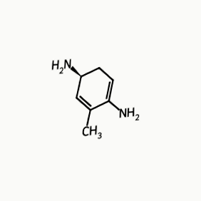 CC1=C[C@@H](N)CC=C1N